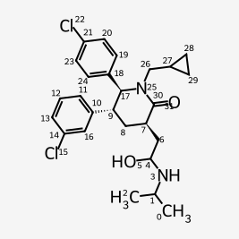 CC(C)NC(O)C[C@H]1C[C@H](c2cccc(Cl)c2)[C@@H](c2ccc(Cl)cc2)N(CC2CC2)C1=O